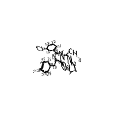 CC(N1CCCC1)n1nc(-c2cccc(Cl)c2)nc(Cc2ccccc2)c1=O